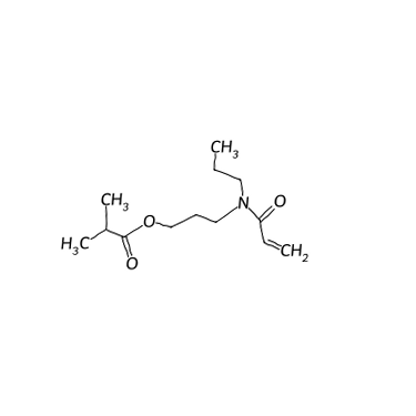 C=CC(=O)N(CCC)CCCOC(=O)C(C)C